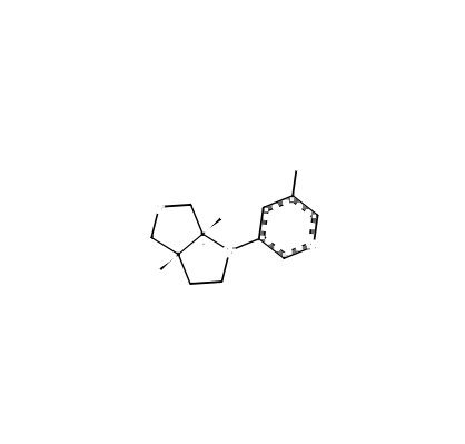 Fc1cncc(N2CC[C@@H]3CNC[C@@H]32)c1